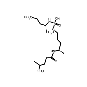 CC(CCC(=O)N[C@H](C)CCCOP(=O)(O)N[C@@H](CCC(=O)O)C(=O)O)C(=O)O